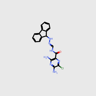 Nc1nc(N)c(C(=O)NC=NNC2c3ccccc3-c3ccccc32)nc1Cl